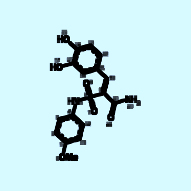 COc1ccc(NS(=O)(=O)/C(=C\c2ccc(O)c(O)c2)C(N)=O)cc1